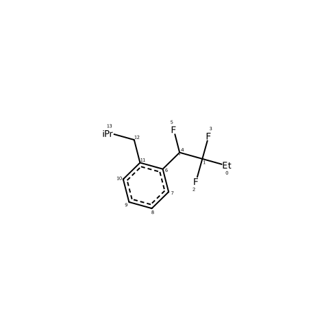 CCC(F)(F)[C](F)c1ccccc1CC(C)C